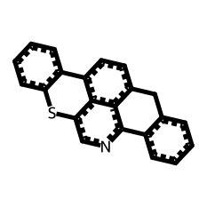 c1ccc2c(c1)Cc1ccc3c4c(cnc-2c14)Sc1ccccc1-3